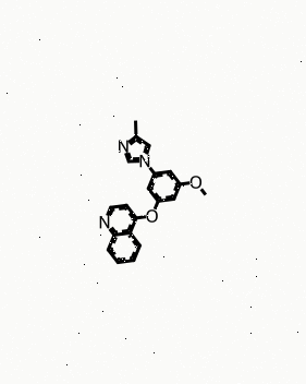 COc1cc(Oc2ccnc3ccccc23)cc(-n2cnc(C)c2)c1